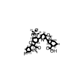 CNC(=O)c1c(-c2ccc(F)cc2)oc2cc(N(C)S(C)(=O)=O)c(-c3ccc4c(n3)-c3cc5c(C(=O)O)cccc5n3CO4)cc12